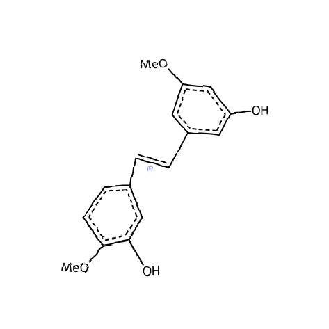 COc1cc(O)cc(/C=C/c2ccc(OC)c(O)c2)c1